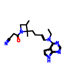 CCN(C=CCCC1(C)C(C)CN1C(=O)CC#N)c1ncnc2[nH]ccc12